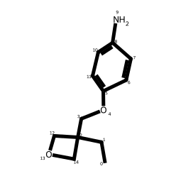 CCC1(COc2ccc(N)cc2)COC1